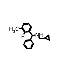 Cc1cccc(C(NCC2CC2)c2ccccc2)c1F